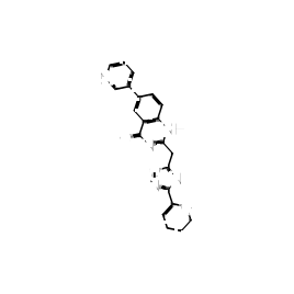 O=c1nc(Cc2nc(C3=CCCCO3)no2)[nH]c2ccc(-c3cccnc3)cc12